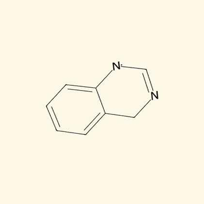 C1=NCc2ccccc2[N]1